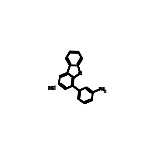 Cl.Pc1cccc(-c2cccc3c2oc2ccccc23)c1